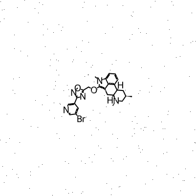 C[C@@H]1C[C@@H]2c3cccc4c3c(c(OCc3nc(-c5cncc(Br)c5)no3)n4C)C[C@H]2N(C)C1